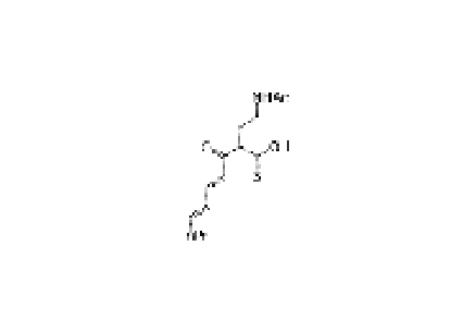 CCCC=CC=CC(=O)C(CCNC(C)=O)C(O)=S